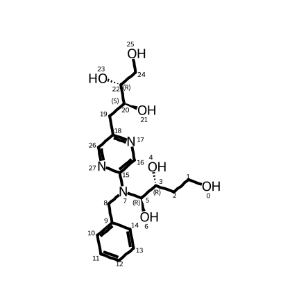 OCC[C@@H](O)[C@@H](O)N(Cc1ccccc1)c1cnc(C[C@H](O)[C@H](O)CO)cn1